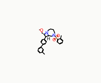 COC[C@@H]1C(c2ccc(-c3cccc(C)c3)cc2)[C@@H]2CN(S(=O)(=O)c3ccccc3C)CCCCN12